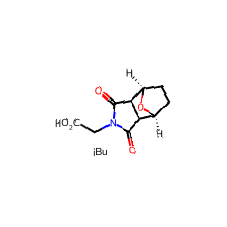 CC[C@H](C)C(C(=O)O)N1C(=O)C2C(C1=O)[C@H]1CC[C@@H]2O1